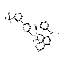 COc1ccccc1[C@H](c1cccc2ccccc12)[C@](C#N)(Cc1ccc(-c2cccc(C(F)(F)F)c2)cc1)C(=O)O